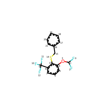 FC(F)Oc1cccc(C(F)(F)F)c1SCc1ccccc1